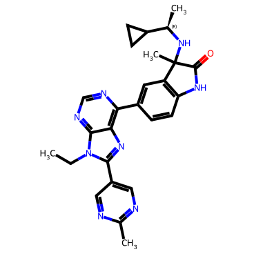 CCn1c(-c2cnc(C)nc2)nc2c(-c3ccc4c(c3)C(C)(N[C@H](C)C3CC3)C(=O)N4)ncnc21